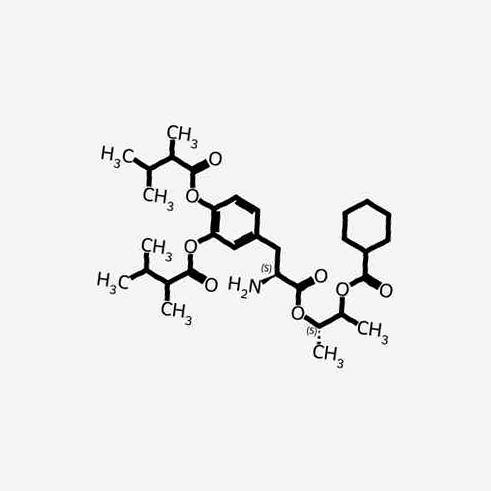 CC(C)C(C)C(=O)Oc1ccc(C[C@H](N)C(=O)O[C@@H](C)C(C)OC(=O)C2CCCCC2)cc1OC(=O)C(C)C(C)C